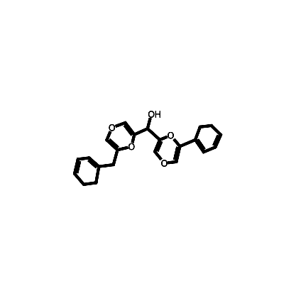 OC(C1=COC=C(CC2=CC=CCC2)O1)C1=COC=C(C2=CC=CCC2)O1